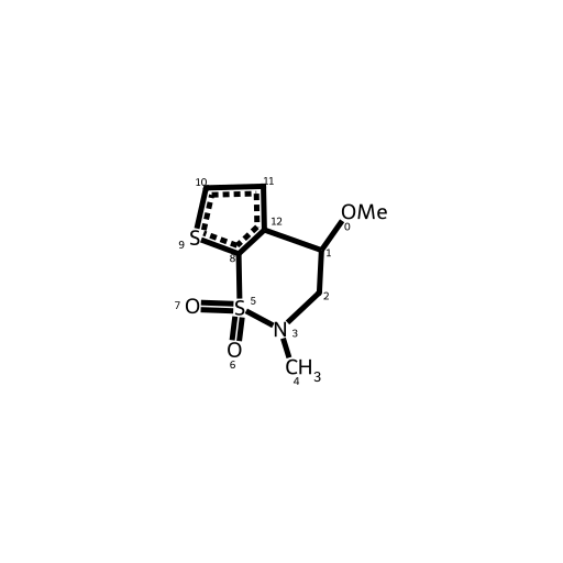 COC1CN(C)S(=O)(=O)c2sccc21